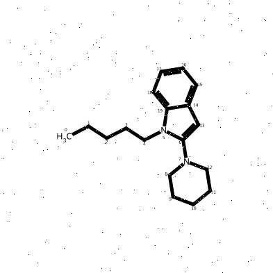 CCCCCn1c(N2CCCCC2)cc2ccccc21